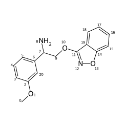 COc1cccc(C(N)COc2noc3ccccc23)c1